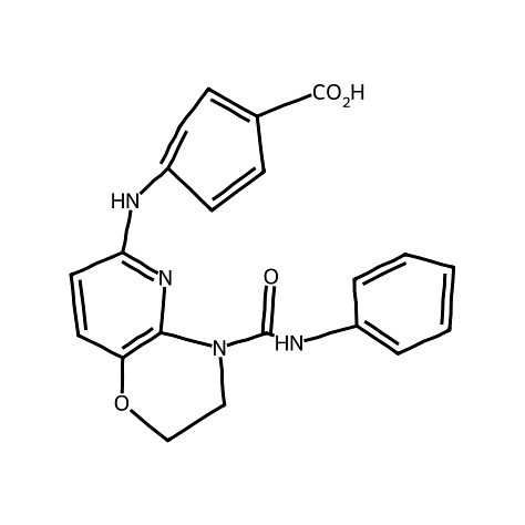 O=C(O)c1ccc(Nc2ccc3c(n2)N(C(=O)Nc2ccccc2)CCO3)cc1